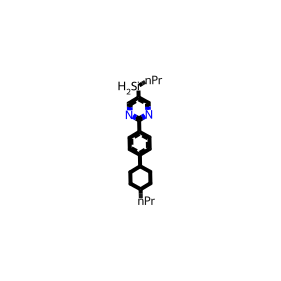 CCC[SiH2]c1cnc(-c2ccc(C3CCC(CCC)CC3)cc2)nc1